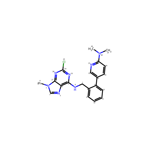 CC(C)n1cnc2c(NCc3ccccc3-c3ccc(N(C)C)nc3)nc(Cl)nc21